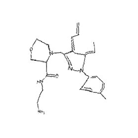 C=C/C=c1/c(N2CCOCC2C(=O)NCCN)nn(-c2ccc(C)cc2)/c1=C/C